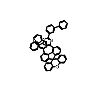 c1ccc(-c2cccc(-c3nc(-c4ccccc4)nc(-c4cccc5c4-c4c(-c6ccc7cccnc7c6)cccc4C54c5ccccc5Oc5ccccc54)n3)c2)cc1